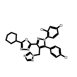 Clc1ccc(-c2c(Cn3cncn3)c(-c3nnc(C4CCCCC4)o3)nn2-c2ccc(Cl)cc2Cl)cc1